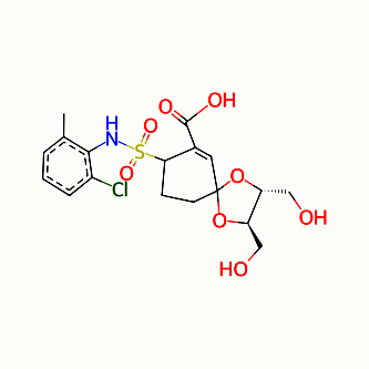 Cc1cccc(Cl)c1NS(=O)(=O)C1CCC2(C=C1C(=O)O)O[C@H](CO)[C@@H](CO)O2